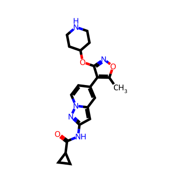 Cc1onc(OC2CCNCC2)c1-c1ccn2nc(NC(=O)C3CC3)cc2c1